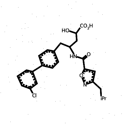 CC(C)Cc1cc(C(=O)NC(Cc2ccc(-c3cccc(Cl)c3)cc2)CC(O)C(=O)O)on1